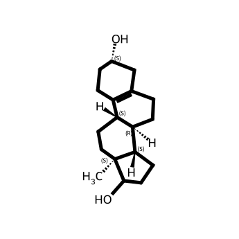 C[C@]12CC[C@@H]3C4=C(CC[C@H]3[C@@H]1CCC2O)C[C@@H](O)CC4